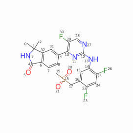 CC1(C)NC(=O)c2ccc(-c3nc(Nc4cc(CS(C)(=O)=O)c(F)cc4F)ncc3F)cc21